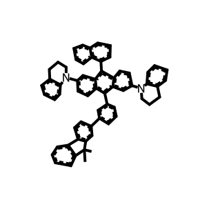 CC1(C)c2ccccc2-c2ccc(-c3cccc(-c4c5cc(N6CCCc7ccccc76)ccc5c(-c5cccc6ccccc56)c5cc(N6CCCc7ccccc76)ccc45)c3)cc21